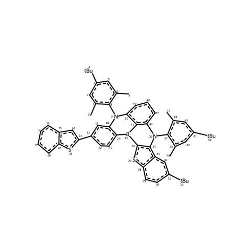 Cc1cc(C(C)(C)C)cc(C)c1N1c2cc(-c3cc4ccccc4s3)ccc2B2c3sc4ccc(C(C)(C)C)cc4c3N(c3c(C)cc(C(C)(C)C)cc3C)c3cccc1c32